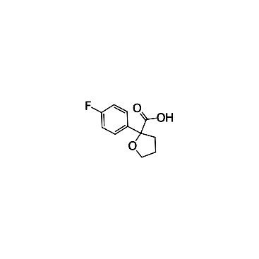 O=C(O)C1(c2ccc(F)cc2)CCCO1